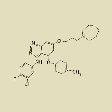 CN1CCC(Oc2cc(OCCCN3CCCCCC3)cc3ncnc(Nc4ccc(F)c(Cl)c4)c23)CC1